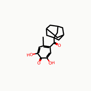 Cc1cc(O)c(=O)c(O)cc1C(=O)C12CC3CC(CC(C3)C1)C2